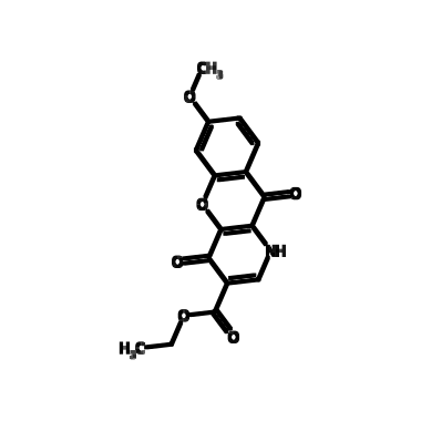 CCOC(=O)c1c[nH]c2c(=O)c3ccc(OC)cc3oc2c1=O